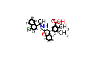 Cc1cc([C@H]2C[C@H](CN[C@H](C)c3ccc(F)c4ccccc34)Oc3ccccc32)cc(C(=O)O)c1C